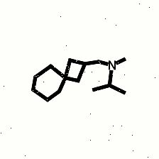 CC(C)N(C)CC1CC2(CCCCC2)C1